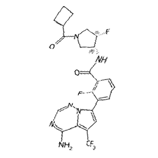 Nc1ncnn2c(-c3cccc(C(=O)N[C@@H]4CN(C(=O)C5CCC5)C[C@@H]4F)c3F)cc(C(F)(F)F)c12